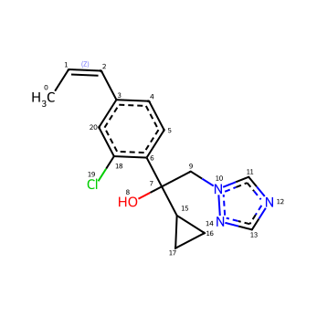 C/C=C\c1ccc(C(O)(Cn2cncn2)C2CC2)c(Cl)c1